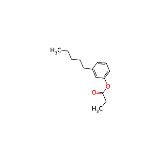 CCCCCc1cccc(OC(=O)CC)c1